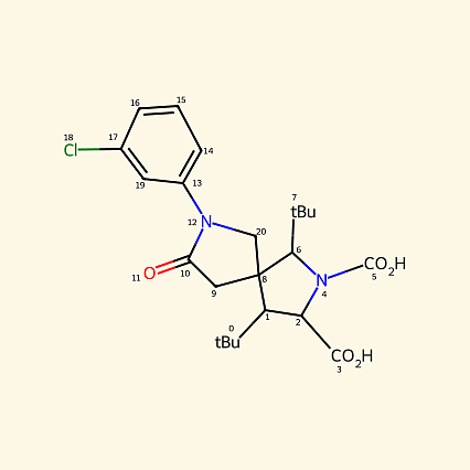 CC(C)(C)C1C(C(=O)O)N(C(=O)O)C(C(C)(C)C)C12CC(=O)N(c1cccc(Cl)c1)C2